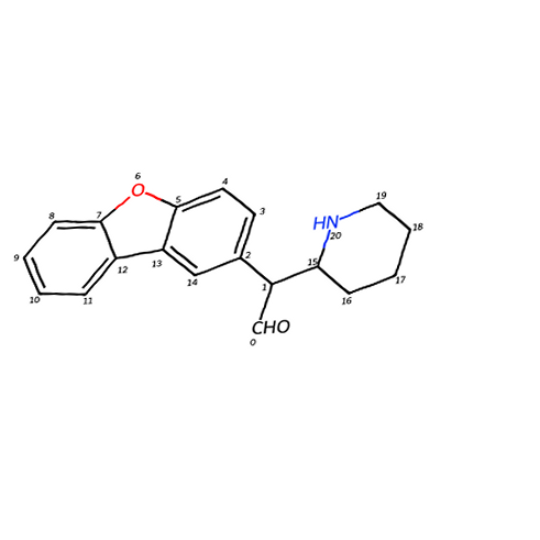 O=CC(c1ccc2oc3ccccc3c2c1)C1CCCCN1